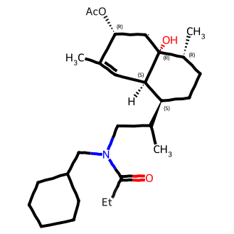 CCC(=O)N(CC1CCCCC1)CC(C)[C@@H]1CC[C@@H](C)[C@]2(O)[CH][C@@H](OC(C)=O)C(C)=C[C@H]12